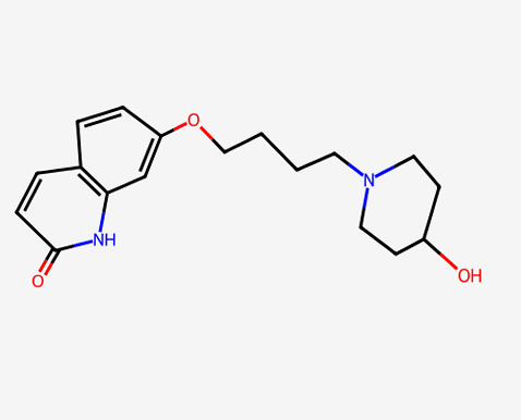 O=c1ccc2ccc(OCCCCN3CCC(O)CC3)cc2[nH]1